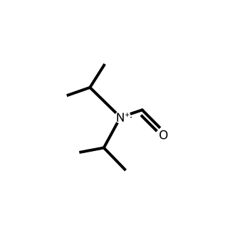 CC(C)[N+](C=O)C(C)C